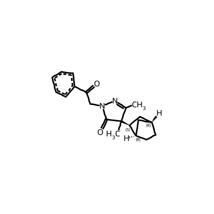 CC1=NN(CC(=O)c2ccccc2)C(=O)C1(C)[C@H]1C[C@@H]2CC[C@@H]1C2